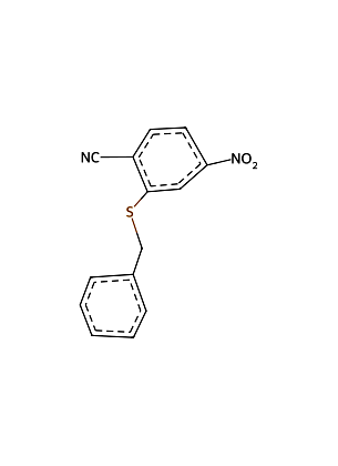 N#Cc1ccc([N+](=O)[O-])cc1SCc1ccccc1